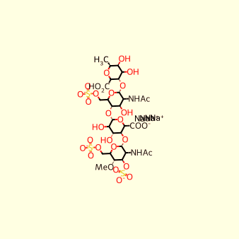 CO[C@@H]1C(COS(=O)(=O)[O-])O[C@H](O[C@@H]2C(C(=O)[O-])O[C@@H](O[C@@H]3C(COS(=O)(=O)[O-])O[C@H](O[C@@H]4C(C(=O)O)O[C@@H](C)[C@@H](O)C4O)C(NC(C)=O)[C@H]3O)C(O)[C@H]2O)C(NC(C)=O)[C@H]1OS(=O)(=O)[O-].[Na+].[Na+].[Na+].[Na+]